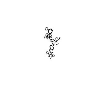 CCOC(=O)C1CC(NS(=O)(=O)c2cccc(Cl)c2)CN1CC1CCC2CN(C(=O)OC)C(C(=O)OCC)CC2C1